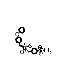 NS(=O)(=O)c1ccc(CN2C(=O)C(=Cc3ccc(Oc4ccccc4)cc3)SC2=S)cc1